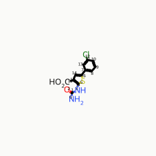 NC(=O)Nc1sc(-c2cccc(Cl)c2)cc1C(=O)O